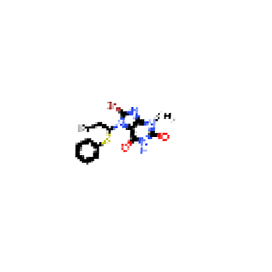 CC(C)CC(Sc1ccccc1)n1c(Br)nc2c1c(=O)[nH]c(=O)n2C